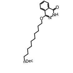 CCCCCCCCCCCCCCCCCCCCOc1n[nH]c(=O)c2ccccc12